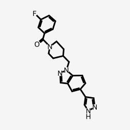 O=C(c1cccc(F)c1)N1CCC(Cn2ncc3cc(-c4cn[nH]c4)ccc32)CC1